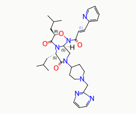 CC(C)C[C@H]1ON(C(=O)/C=C/c2ccccn2)[C@H]2CN(C3CCN(Cc4ncccn4)CC3)C(=O)[C@H](CC(C)C)N2C1=O